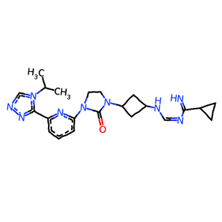 CC(C)n1cnnc1-c1cccc(N2CCN(C3CC(N/C=N\C(=N)C4CC4)C3)C2=O)n1